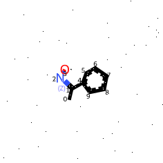 C/C(=N/[O])c1ccccc1